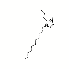 CCCCCCCCCCCN1C=CN(C)C1CCC